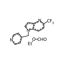 CCOC=O.FC(F)(F)c1ccc2c(ccn2Cc2ccncc2)n1